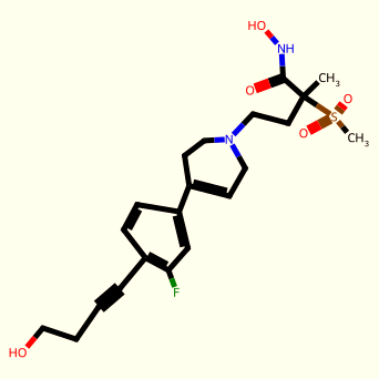 CC(CCN1CC=C(c2ccc(C#CCCO)c(F)c2)CC1)(C(=O)NO)S(C)(=O)=O